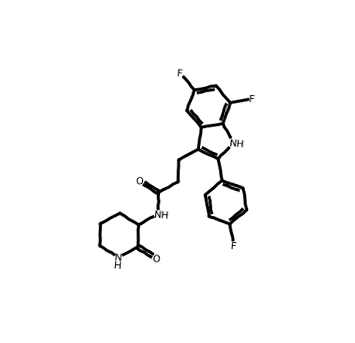 O=C(CCc1c(-c2ccc(F)cc2)[nH]c2c(F)cc(F)cc12)NC1CCCNC1=O